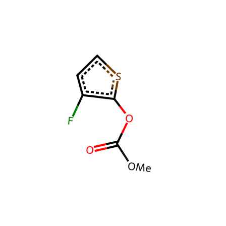 COC(=O)Oc1sccc1F